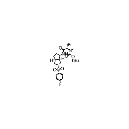 CC(C)[C@@H](C(=O)N[C@@H]1CC[C@H]2CN(S(=O)(=O)c3ccc(F)cc3)C[C@H]21)N(C)C(=O)OC(C)(C)C